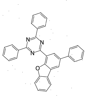 c1ccc(-c2cc(-c3nc(-c4ccccc4)nc(-c4ccccc4)n3)c3oc4ccccc4c3c2)cc1